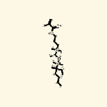 C=C(C)C(=O)OCCC[Si](C)(C)[C@H](C)O[Si](C)(C)C(C)(CC)CCCC